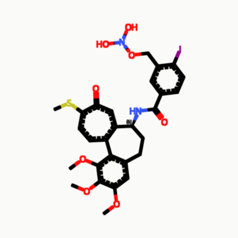 COc1cc2c(c(OC)c1OC)-c1ccc(SC)c(=O)cc1[C@@H](NC(=O)c1ccc(I)c(CON(O)O)c1)CC2